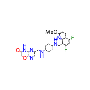 COc1ccc2c(F)cc(F)c(CNC3CCC(NCc4cnc5c(n4)NC(=O)CO5)CC3)c2n1